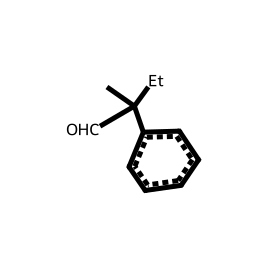 CCC(C)(C=O)c1ccccc1